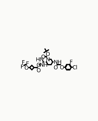 CC(C)(C)OC(=O)N1C[C@@H](NC(=O)COc2ccc(Cl)c(F)c2)CC[C@@H]1C(=N)NOC(=O)C1CC(OC(F)(F)F)C1